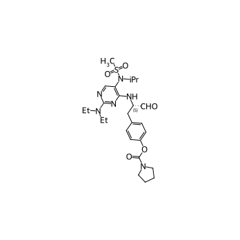 CCN(CC)c1ncc(N(C(C)C)S(C)(=O)=O)c(N[C@H](C=O)Cc2ccc(OC(=O)N3CCCC3)cc2)n1